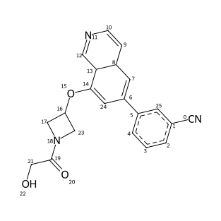 N#Cc1cccc(C2=CC3C=CN=CC3C(OC3CN(C(=O)CO)C3)=C2)c1